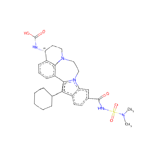 CN(C)S(=O)(=O)NC(=O)c1ccc2c(C3CCCCC3)c3n(c2c1)CCN1CC[C@@H](NC(=O)O)c2cccc-3c21